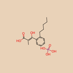 CCCCCc1ccccc1/C(O)=C(\C)C(=O)O.O=P(O)(O)O